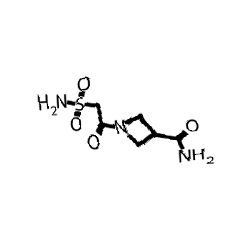 NC(=O)C1CN(C(=O)CS(N)(=O)=O)C1